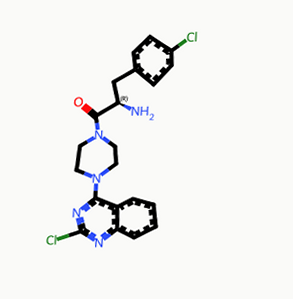 N[C@H](Cc1ccc(Cl)cc1)C(=O)N1CCN(c2nc(Cl)nc3ccccc23)CC1